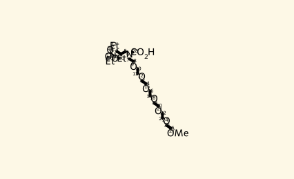 CCO[Si](CCCN(CCOCCOCCOCCOCCOCCOCCOC)C(=O)O)(OCC)OCC